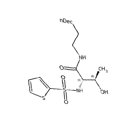 CCCCCCCCCCCCNC(=O)[C@@H](NS(=O)(=O)c1cccs1)[C@@H](C)O